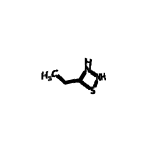 CCC1NNS1